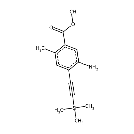 COC(=O)c1cc(N)c(C#C[Si](C)(C)C)cc1C